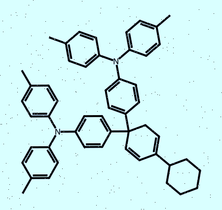 Cc1ccc(N(c2ccc(C)cc2)c2ccc(C3(c4ccc(N(c5ccc(C)cc5)c5ccc(C)cc5)cc4)C=CC(C4CCCCC4)=CC3)cc2)cc1